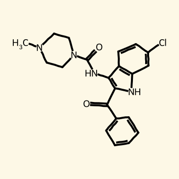 CN1CCN(C(=O)Nc2c(C(=O)c3ccccc3)[nH]c3cc(Cl)ccc23)CC1